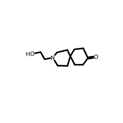 O=C1CCC2(CC1)CCN(CCO)CC2